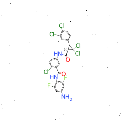 Nc1cc(F)c(NC(=O)c2cc(NC(=O)[C@H]3C(c4ccc(Cl)c(Cl)c4)C3(Cl)Cl)ccc2Cl)c(F)c1